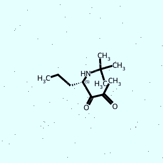 CCC[C@H](NC(C)(C)C)C(=O)C(C)=O